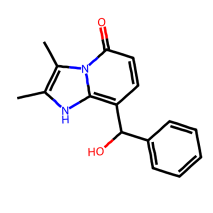 Cc1[nH]c2c(C(O)c3ccccc3)ccc(=O)n2c1C